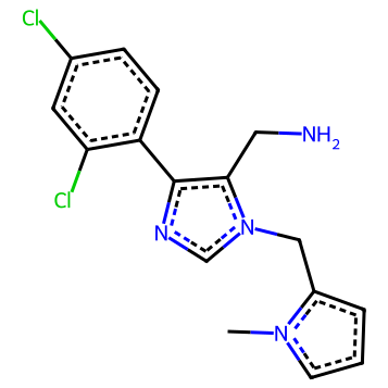 Cn1cccc1Cn1cnc(-c2ccc(Cl)cc2Cl)c1CN